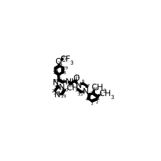 Cc1cccc(N2CCN(C(=O)C(C)Nc3c(-c4ccc(OC(F)(F)F)cc4)nc4cnccn34)CC2)c1C